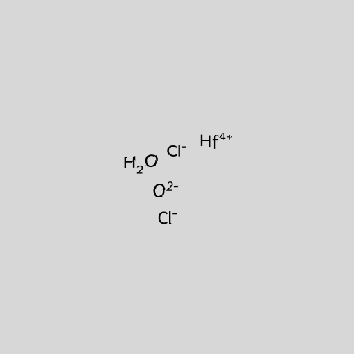 O.[Cl-].[Cl-].[Hf+4].[O-2]